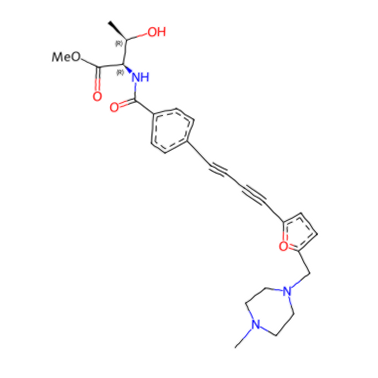 COC(=O)[C@H](NC(=O)c1ccc(C#CC#Cc2ccc(CN3CCN(C)CC3)o2)cc1)[C@@H](C)O